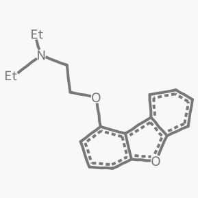 CCN(CC)CCOc1cccc2oc3ccccc3c12